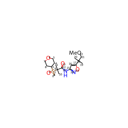 C=S(=O)(C1CCOCC1)C(C)(C)C(=O)Nc1cc(C(C)(C)COC)on1